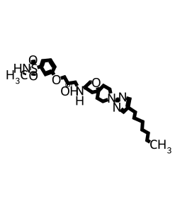 CCCCCCCc1cnc(N2CCC3(CC2)CC(NC[C@H](O)COc2cccc(S(=O)(=O)NC)c2)CO3)nc1